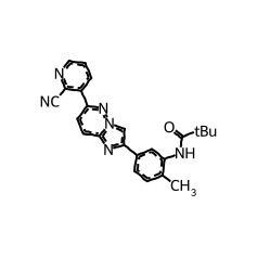 Cc1ccc(-c2cn3nc(-c4cccnc4C#N)ccc3n2)cc1NC(=O)C(C)(C)C